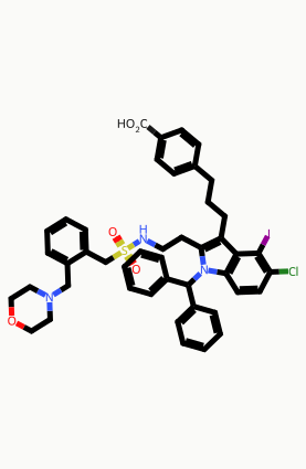 O=C(O)c1ccc(CCCc2c(CCNS(=O)(=O)Cc3ccccc3CN3CCOCC3)n(C(c3ccccc3)c3ccccc3)c3ccc(Cl)c(I)c23)cc1